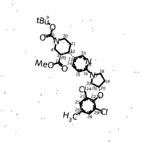 COC(=O)[C@H]1CN(C(=O)OC(C)(C)C)CC[C@@H]1c1ccc(N2CC[C@H](Oc3c(Cl)cc(C)cc3Cl)C2)nc1